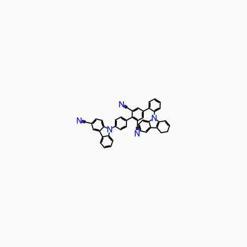 N#Cc1ccc2c(c1)c1ccccc1n2-c1ccc(-c2c(C#N)cc(-c3ccccc3-n3c4c(c5ccccc53)CCC=C4)cc2C#N)cc1